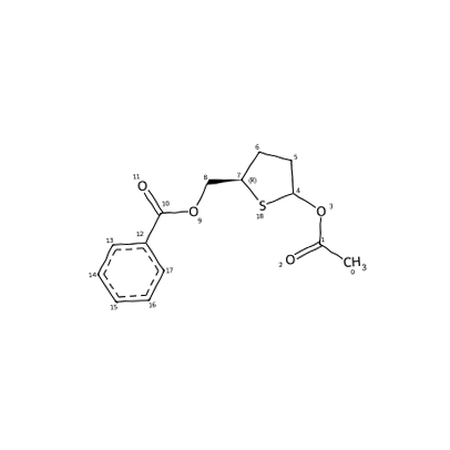 CC(=O)OC1CC[C@H](COC(=O)c2ccccc2)S1